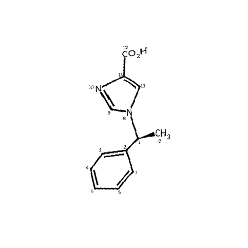 C[C@@H](c1ccccc1)n1cnc(C(=O)O)c1